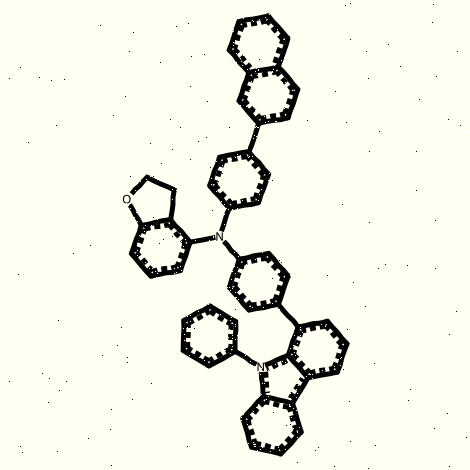 c1ccc(-n2c3ccccc3c3cccc(-c4ccc(N(c5ccc(-c6ccc7ccccc7c6)cc5)c5cccc6c5CCO6)cc4)c32)cc1